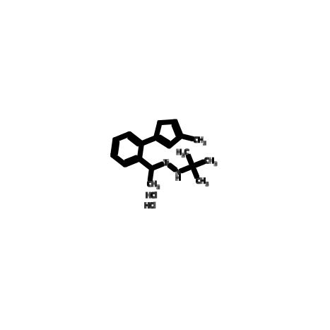 CC1=CCC(c2ccccc2[CH](C)[Ti][NH]C(C)(C)C)=C1.Cl.Cl